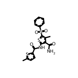 Cc1ccc(C(=O)Nc2sc(S(=O)(=O)c3ccccc3)c(C)c2C(N)=O)s1